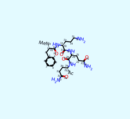 CN[C@@H](Cc1ccccc1)C(=O)N[C@@H](CCCN)C(=O)N[C@@H](CCC(N)=O)C(=O)N[C@@H](CCC(N)=O)C(C)=O